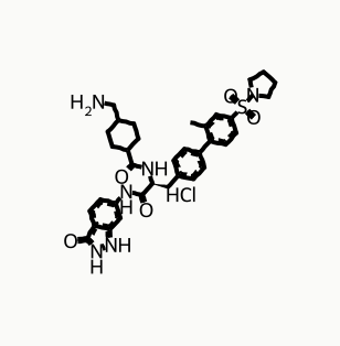 Cc1cc(S(=O)(=O)N2CCCC2)ccc1-c1ccc(C[C@H](NC(=O)C2CCC(CN)CC2)C(=O)Nc2ccc3c(=O)[nH][nH]c3c2)cc1.Cl